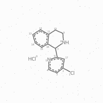 Cl.Clc1ccnc(C2NCCc3ccccc32)c1